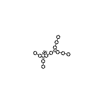 c1ccc(-c2ccc(-c3ccc4c(c3)c3cc(-c5ccc(-c6ccccc6)cc5)ccc3n4-c3ccc(-c4ccc(N(c5ccc(-c6ccccc6)cc5)c5ccc(-c6ccccc6)cc5)c5nsnc45)cc3)cc2)cc1